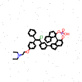 CCN(CC)CCOc1ccc(/C(=C(/Cl)c2cccc(-c3ccc4ccc5c(c4c3)-c3c(ccc4ccccc34)OP(=O)(O)O5)c2)c2ccccc2)cc1